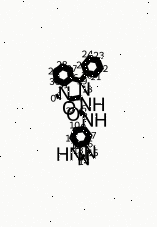 CN1C(=O)C(NC(=O)Nc2ccc3[nH]nnc3c2)N=C(c2ccccc2)c2ccccc21